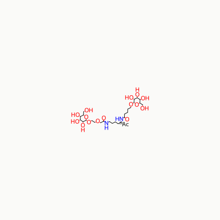 CC(=O)[C@H](CCCCNC(=O)COCCOC1OC(CO)C(O)C(O)C1O)NC(=O)CCCCOC1OC(CO)C(O)C(O)C1O